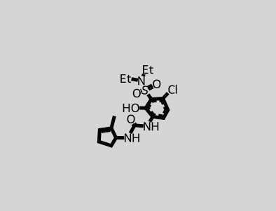 CCN(CC)S(=O)(=O)c1c(Cl)ccc(NC(=O)NC2CCC=C2C)c1O